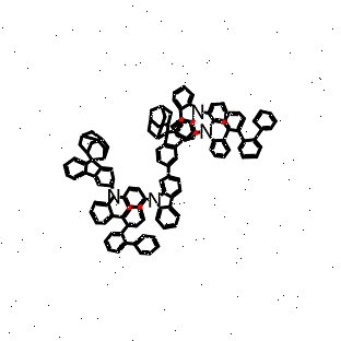 c1ccc(-c2ccccc2-c2ccccc2-c2ccccc2N(c2ccc(-n3c4ccccc4c4ccc(-c5ccc6c(c5)-c5cc(N(c7ccccc7-c7ccccc7-c7ccccc7-c7ccccc7)c7ccccc7-n7c8ccccc8c8ccccc87)ccc5C65C6CC7CC(C6)CC5C7)cc43)cc2)c2ccc3c(c2)-c2ccccc2C32C3CCC4CC(C3)CC2C4)cc1